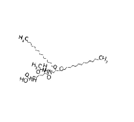 CCCCCCCCCCCCCCOCC(CNC(=O)C(CCCCNC(=O)O)NC(C)=O)OCCCCCCCCCCCCCC